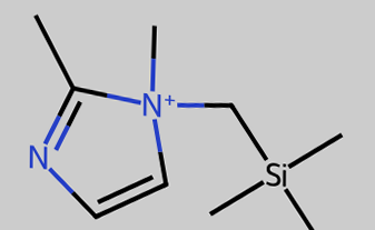 CC1=NC=C[N+]1(C)C[Si](C)(C)C